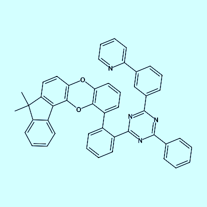 CC1(C)c2ccccc2-c2c1ccc1c2Oc2c(cccc2-c2ccccc2-c2nc(-c3ccccc3)nc(-c3cccc(-c4ccccn4)c3)n2)O1